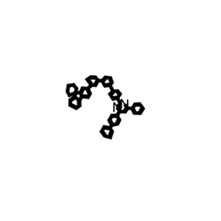 c1ccc(-c2ccc(-c3cc(-c4ccccc4)nc(-c4ccc(-c5cccc(-c6cccc(-c7ccc8c(c7)C7(CCCCC7)c7ccccc7-8)c6)c5)cc4)n3)cc2)cc1